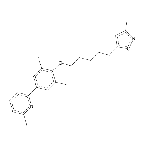 Cc1cc(CCCCCOc2c(C)cc(-c3cccc(C)n3)cc2C)on1